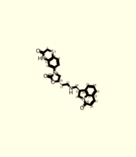 O=C1CSc2ccc(N3C[C@H](CCNC[C@@H]4Cn5c(=O)ccc6cccc4c65)OC3=O)cc2N1